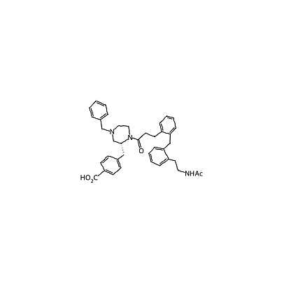 CC(=O)NCCc1ccccc1Cc1ccccc1CCC(=O)N1CCN(Cc2ccccc2)C[C@H]1Cc1ccc(C(=O)O)cc1